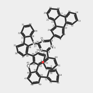 c1ccc(-c2nc(-c3ccc4c5ccccc5c5ccccc5c4c3)nc(-n3c4ccccc4c4cccc(-c5cccc6c5oc5cccc(-c7ccccc7)c56)c43)n2)cc1